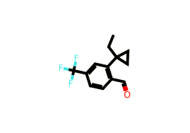 CCC1(c2cc(C(F)(F)F)ccc2C=O)CC1